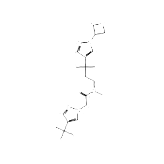 CN(CCC(C)(C)c1cnn(C2COC2)c1)C(=O)Cn1cc(C(C)(C)C)cn1